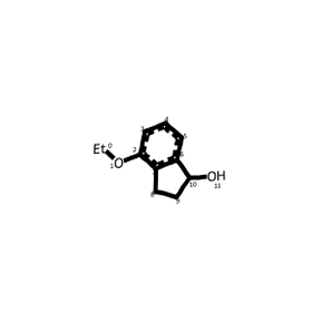 CCOc1cccc2c1CCC2O